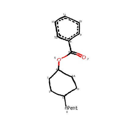 CCCCCC1CCC(OC(=O)c2ccccc2)CC1